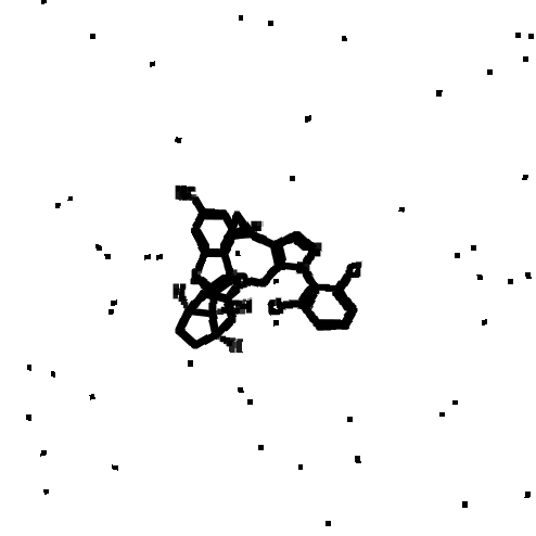 N#Cc1cc(F)c2nc([C@@]3(O)[C@@H]4CC[C@H]3C[C@@H](OCc3c(C5CC5)cnn3-c3c(Cl)cccc3Cl)C4)sc2c1